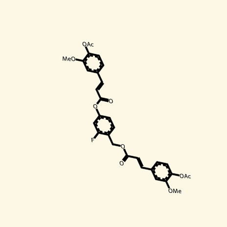 COc1cc(/C=C/C(=O)OCc2ccc(OC(=O)/C=C/c3ccc(OC(C)=O)c(OC)c3)cc2F)ccc1OC(C)=O